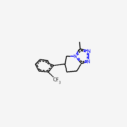 Cc1nnc2n1CC(c1ccccc1C(F)(F)F)CC2